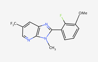 COc1cccc(-c2nc3cc(C(F)(F)F)cnc3n2C)c1F